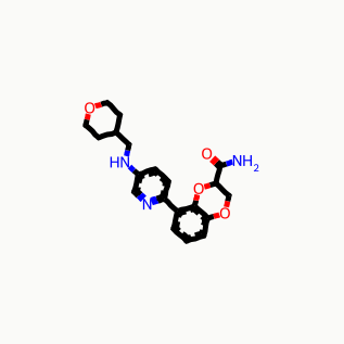 NC(=O)C1COc2cccc(-c3ccc(NCC4CCOCC4)cn3)c2O1